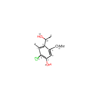 COc1cc(O)c(Cl)c(C)c1C(C)O